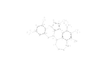 Cc1cc2c(c(Br)c1C(F)(F)F)NCCCC2N(Cc1cc(Cl)cc(C(F)(F)F)c1)c1nnn(C)n1